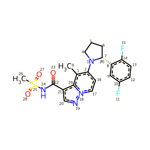 Cc1c(N2CCC[C@@H]2c2cc(F)ccc2F)ccn2ncc(C(=O)NS(C)(=O)=O)c12